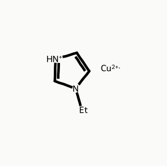 CCn1cc[nH+]c1.[Cu+2]